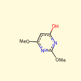 COc1cc(O)nc(OC)n1